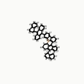 C1=Cc2c(c(-c3cccc4ccccc34)c3ccccc3c2-c2cccc3c2sc2cc(-c4c5ccccc5c(-c5cccc6ccccc56)c5ccccc45)ccc23)CC1